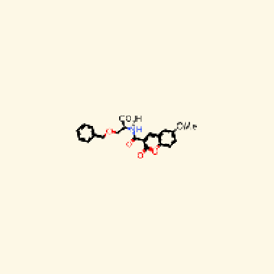 COc1ccc2oc(=O)c(C(=O)N[C@@H](COCc3ccccc3)C(=O)O)cc2c1